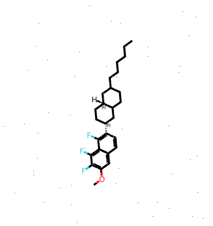 CCCCCCC1CCC2C[C@H](c3ccc4cc(OC)c(F)c(F)c4c3F)CC[C@@H]2C1